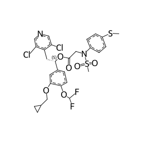 CSc1ccc(N(CC(=O)O[C@@H](Cc2c(Cl)cncc2Cl)c2ccc(OC(F)F)c(OCC3CC3)c2)S(C)(=O)=O)cc1